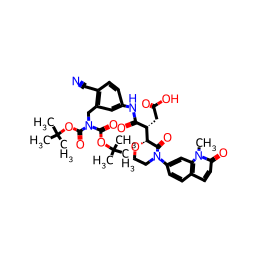 Cn1c(=O)ccc2ccc(N3CCO[C@H]([C@@H](CC(=O)O)C(=O)Nc4ccc(C#N)c(CN(C(=O)OC(C)(C)C)C(=O)OC(C)(C)C)c4)C3=O)cc21